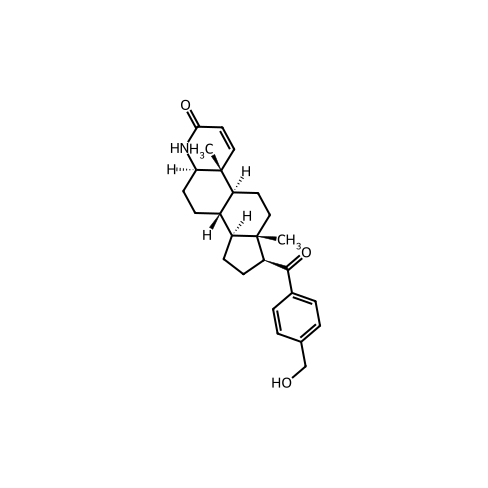 C[C@]12C=CC(=O)N[C@@H]1CC[C@@H]1[C@@H]2CC[C@]2(C)[C@@H](C(=O)c3ccc(CO)cc3)CC[C@@H]12